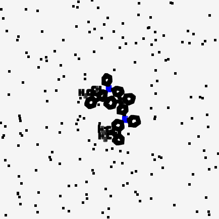 CC1(C)c2ccccc2-c2cc(N(c3ccccc3)c3ccc([Si](c4ccccc4)(c4ccccc4)c4cccc(N(c5ccccc5)c5ccc6c(c5)C(C)(C)c5ccccc5-6)c4)cc3)ccc21